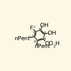 CCCCCc1c(F)c(O)c(O)c(C(=O)O)c1CCCCC